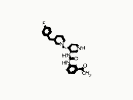 CC(=O)c1cccc(NC(=O)N[C@H]2CNCC[C@H]2CN2CCCC(Cc3ccc(F)cc3)C2)c1